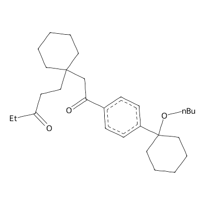 CCCCOC1(c2ccc(C(=O)CC3(CCC(=O)CC)CCCCC3)cc2)CCCCC1